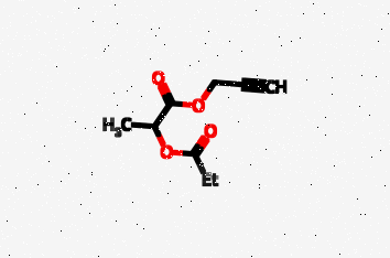 C#CCOC(=O)C(C)OC(=O)C[CH2]